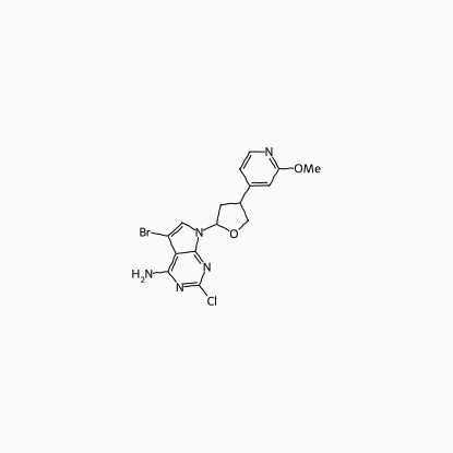 COc1cc(C2COC(n3cc(Br)c4c(N)nc(Cl)nc43)C2)ccn1